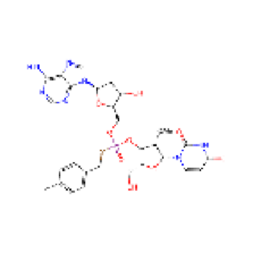 CO[C@H]1C(OP(=O)(OC[C@H]2O[C@@H](n3cnc4c(N)ncnc43)CC2O)SCc2ccc(C)cc2)[C@@H](CO)O[C@H]1n1ccc(=O)[nH]c1=O